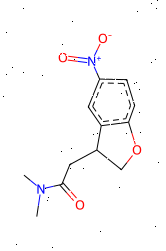 CN(C)C(=O)CC1COc2ccc([N+](=O)[O-])cc21